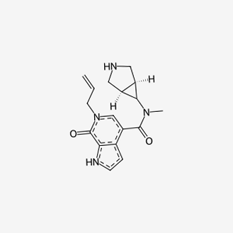 C=CCn1cc(C(=O)N(C)C2[C@H]3CNC[C@@H]23)c2cc[nH]c2c1=O